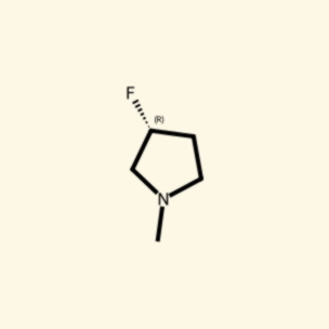 CN1CC[C@@H](F)C1